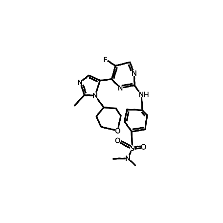 Cc1ncc(-c2nc(Nc3ccc(S(=O)(=O)N(C)C)cc3)ncc2F)n1C1CCOCC1